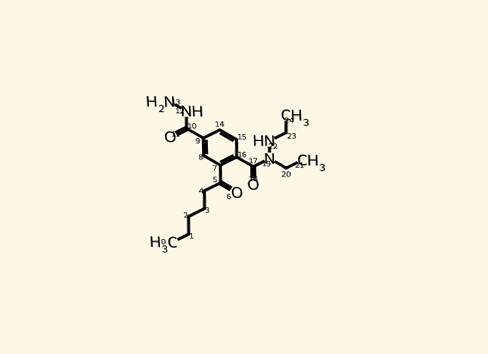 CCCCCC(=O)c1cc(C(=O)NN)ccc1C(=O)N(CC)NCC